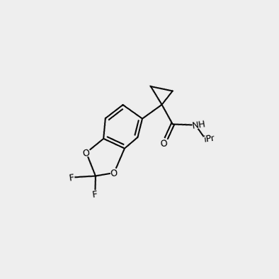 CC(C)NC(=O)C1(c2ccc3c(c2)OC(F)(F)O3)CC1